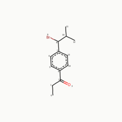 CCC(=O)c1ccc(C(Br)C(C)C)cc1